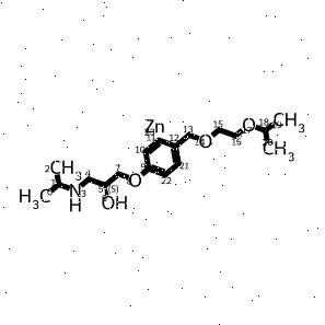 CC(C)NC[C@H](O)COc1ccc(COCCOC(C)C)cc1.[Zn]